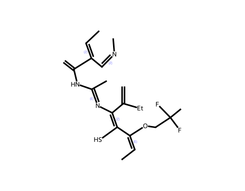 C=C(N/C(C)=N/C(C(=C)CC)=C(S)/C(=C\C)OCC(C)(F)F)C(/C=N\C)=C/C